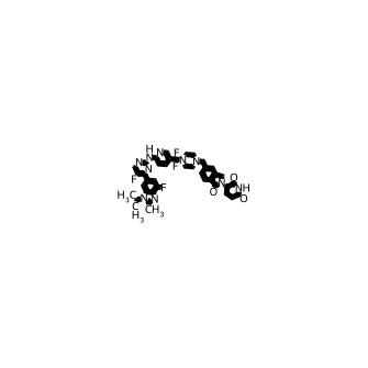 Cc1nc2c(F)cc(-c3nc(Nc4ccc(C(F)(F)N5CCN(Cc6ccc7c(c6)CN(C6CCC(=O)NC6=O)C7=O)CC5)cn4)ncc3F)cc2n1C(C)C